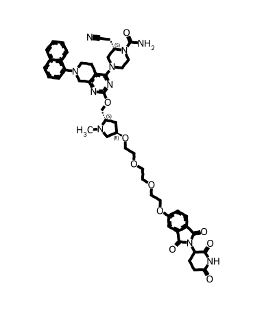 CN1C[C@H](OCCOCCOCCOc2ccc3c(c2)C(=O)N(C2CCC(=O)NC2=O)C3=O)C[C@H]1COc1nc2c(c(N3CCN(C(N)=O)[C@@H](CC#N)C3)n1)CCN(c1cccc3ccccc13)C2